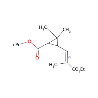 CCCOC(=O)C1C(/C=C(\C)C(=O)OCC)C1(C)C